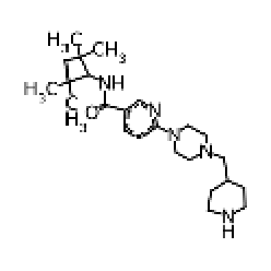 CC1(C)CC(C)(C)C1NC(=O)c1ccc(N2CCN(CC3CCNCC3)CC2)nc1